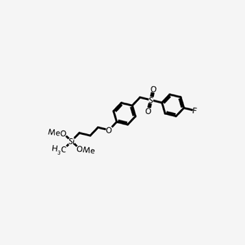 CO[Si](C)(CCCOc1ccc(CS(=O)(=O)c2ccc(F)cc2)cc1)OC